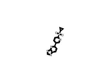 O=S(=O)(c1ccc(-c2ccc3ncsc3n2)cn1)C1CC1